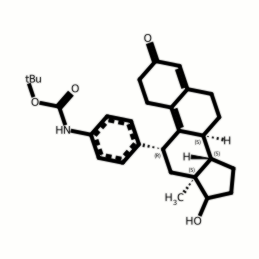 CC(C)(C)OC(=O)Nc1ccc([C@H]2C[C@]3(C)C(O)CC[C@H]3[C@@H]3CCC4=CC(=O)CCC4=C32)cc1